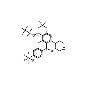 CC1(C)Cc2nc(C3CCOCC3)c([C@@H](O)c3ccc(S(F)(F)(F)(F)F)cc3)c(I)c2[C@@H](O[Si](C)(C)C(C)(C)C)C1